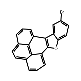 Brc1ccc2oc3c4cccc5ccc6cccc(c3c2c1)c6c54